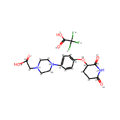 O=C(O)C(F)(F)F.O=C(O)CN1CCN(c2ccc(OC3CCC(=O)NC3=O)cc2)CC1